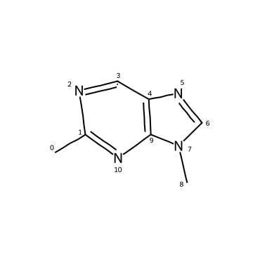 Cc1n[c]c2ncn(C)c2n1